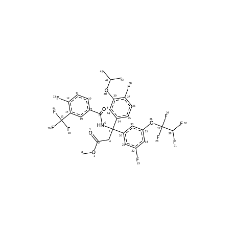 COC(=O)CC(NC(=O)c1ccc(F)c(C(F)(F)F)c1)(c1cc(F)cc(OC(F)(F)C(F)F)c1)c1ccc(F)c(OC(C)C)c1